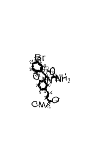 COC(=O)C=Cc1ccc2c(c1)[C@@]1(COC(N)=N1)c1cc(Br)ccc1O2